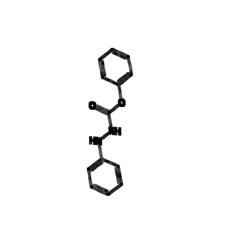 O=C(NNc1ccccc1)Oc1ccccc1